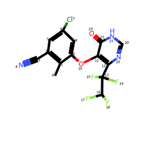 Cc1c(C#N)cc(Cl)cc1Oc1c(C(F)(F)C(F)F)nc[nH]c1=O